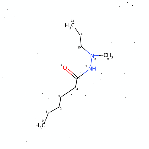 CCCCCC(=O)NN(C)CCC